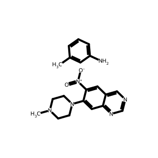 CN1CCN(c2cc3ncncc3cc2[N+](=O)[O-])CC1.Cc1cccc(N)c1